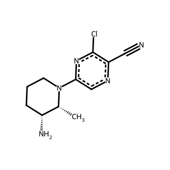 C[C@@H]1[C@H](N)CCCN1c1cnc(C#N)c(Cl)n1